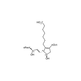 CCCCCCCCC1=C(CCCCCCC(=O)O)[C@@H](C=C[C@@H](O)CCCCC)[C@H](O)C1